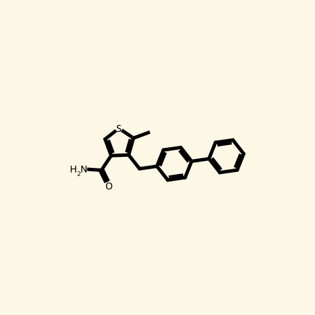 Cc1scc(C(N)=O)c1Cc1ccc(-c2ccccc2)cc1